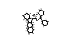 C1=CC2=C(c3ccccc3)N=C(n3c4ccccc4c4cc5ccccc5cc43)NC2C=C1